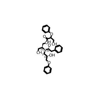 CCC(Oc1ccccc1)C(=O)OC[C@H](CC)N(C[C@H](O)COc1ccccc1)[C@H](O)Cc1ccccc1